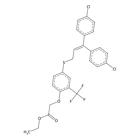 CCOC(=O)COc1ccc(SCC=C(c2ccc(Cl)cc2)c2ccc(Cl)cc2)cc1C(F)(F)F